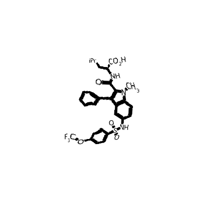 CC(C)C[C@H](NC(=O)c1c(-c2ccccc2)c2cc(NS(=O)(=O)c3ccc(OC(F)(F)F)cc3)ccc2n1C)C(=O)O